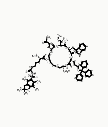 CC(=O)N[C@H](CCCNC(=N)NS(=O)(=O)c1c(C)c(C)c2c(c1C)CC(C)(C)O2)C(=O)N[C@H]1CCSC[C@@H](C(=O)O)NC(=O)[C@H](CCC(=O)NC(c2ccccc2)(c2ccccc2)c2ccccc2)NC(=O)[C@H](Cc2c[nH]c3ccccc23)NC(=O)[C@H]([C@@H](C)OC(C)(C)C)NC(=O)[C@H](CCC(N)=O)NC1